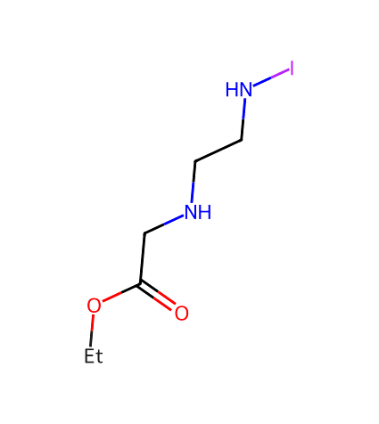 CCOC(=O)CNCCNI